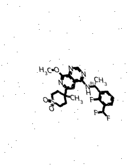 COc1nc(C2(C)CCS(=O)(=O)CC2)cc2c(N[C@H](C)c3cccc(C(F)F)c3F)ncnc12